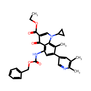 CCOC(=O)c1cn(C2CC2)c2c(C)c(-c3cnc(C)c(C)c3)cc(NC(=O)OCc3ccccc3)c2c1=O